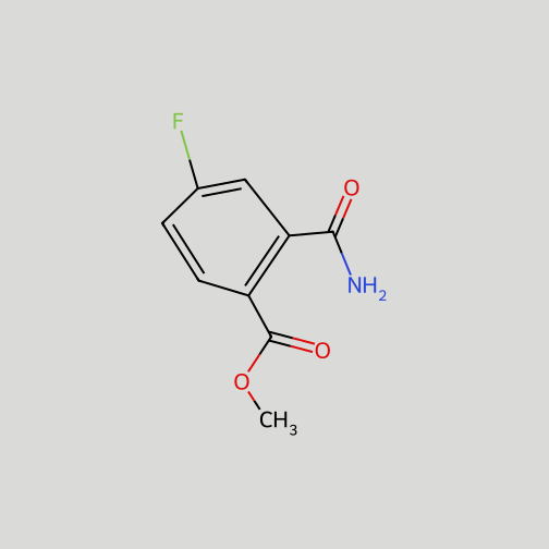 COC(=O)c1ccc(F)cc1C(N)=O